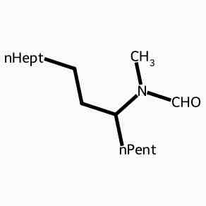 CCCCCCCCCC(CCCCC)N(C)C=O